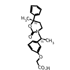 C[C@@H](c1cccc(OCC(=O)O)c1)N1CC[C@@](C)(c2ccccc2)OC1=O